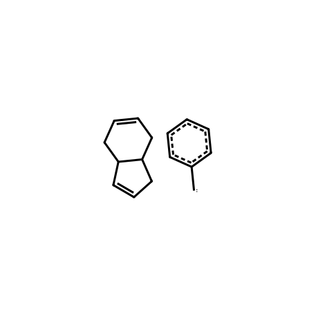 C1=CCC2CC=CC2C1.[CH]c1ccccc1